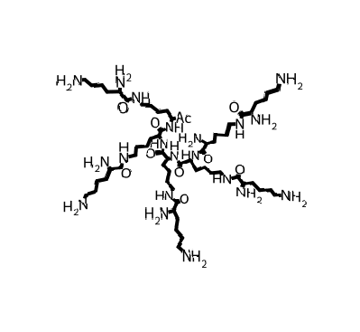 CC(=O)C(CCCCNC(=O)C(N)CCCCN)NC(=O)C(CCCCNC(=O)C(N)CCCCN)NC(=O)C(CCCCNC(=O)C(N)CCCCN)NC(=O)C(CCCCNC(=O)C(N)CCCCN)NC(=O)C(N)CCCCNC(=O)C(N)CCCCN